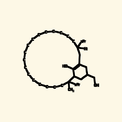 CCCC1(CC)CCCCCCCCCCCCCCCCCC(C)(CCC)C2CC(CO)CC(=C2O)C1